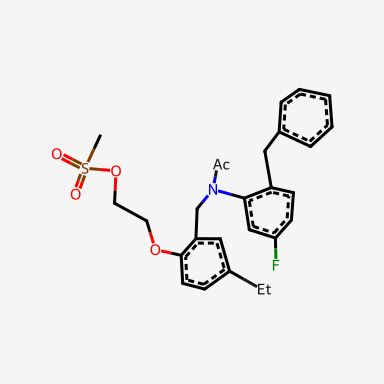 CCc1ccc(OCCOS(C)(=O)=O)c(CN(C(C)=O)c2cc(F)ccc2Cc2ccccc2)c1